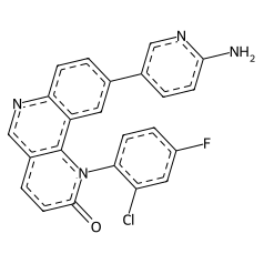 Nc1ccc(-c2ccc3ncc4ccc(=O)n(-c5ccc(F)cc5Cl)c4c3c2)cn1